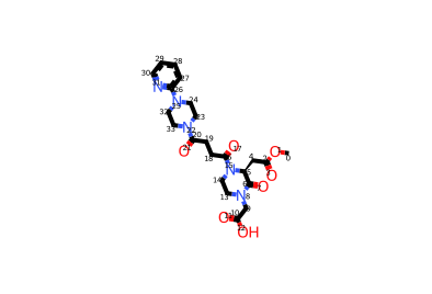 COC(=O)C[C@H]1C(=O)N(CC(=O)O)CCN1C(=O)CCC(=O)N1CCN(c2ccccn2)CC1